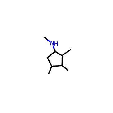 CNC1CC(C)C(C)C1C